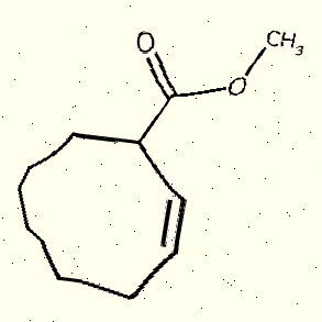 COC(=O)C1/C=C\CCCCC1